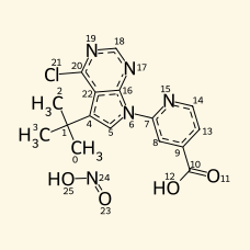 CC(C)(C)c1cn(-c2cc(C(=O)O)ccn2)c2ncnc(Cl)c12.O=NO